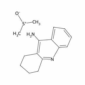 C[S+](C)[O-].Nc1c2c(nc3ccccc13)CCCC2